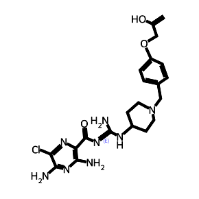 C=C(O)COc1ccc(CN2CCC(N/C(N)=N/C(=O)c3nc(Cl)c(N)nc3N)CC2)cc1